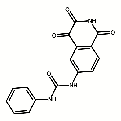 O=C(Nc1ccccc1)Nc1ccc2c(c1)C(=O)C(=O)NC2=O